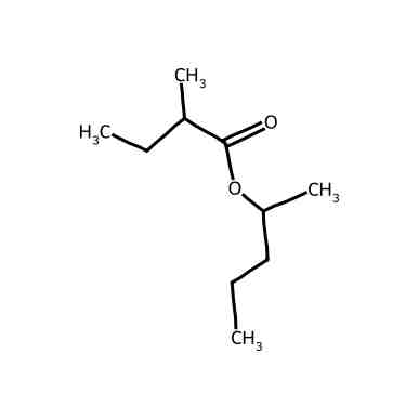 CCCC(C)OC(=O)C(C)CC